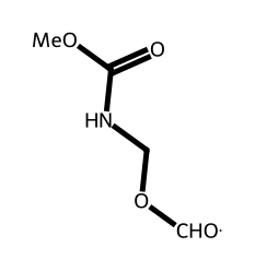 COC(=O)NCO[C]=O